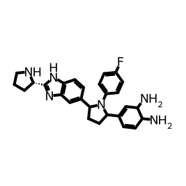 NC1C=CC(C2CCC(c3ccc4[nH]c([C@@H]5CCCN5)nc4c3)N2c2ccc(F)cc2)=CC1N